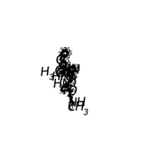 CNCC=CC(=O)N1CCCC(NC(=O)c2sc3nccc4c3c2NC(=O)N4c2ccc(Oc3ccccc3)cc2C)C1